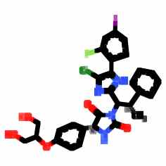 C[C@@H](c1ccccc1)C(c1nc(Cl)c(-c2ccc(I)cc2F)[nH]1)N1C(=O)N[C@H](c2ccc(OC(CO)CO)cc2)C1=O